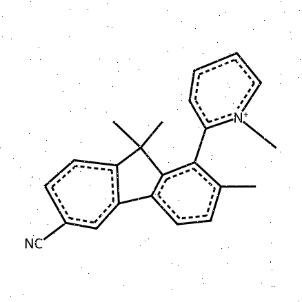 Cc1ccc2c(c1-c1cccc[n+]1C)C(C)(C)c1ccc(C#N)cc1-2